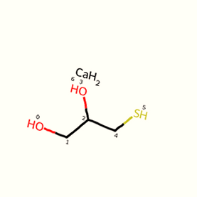 OCC(O)CS.[CaH2]